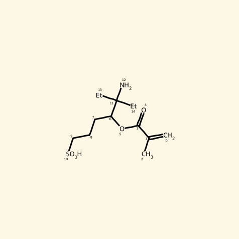 C=C(C)C(=O)OC(CCCS(=O)(=O)O)C(N)(CC)CC